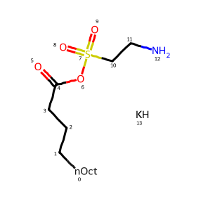 CCCCCCCCCCCC(=O)OS(=O)(=O)CCN.[KH]